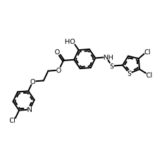 O=C(OCCOc1ccc(Cl)nc1)c1ccc(NSc2cc(Cl)c(Cl)s2)cc1O